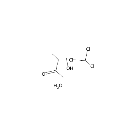 CCC(C)=O.CO.ClC(Cl)Cl.O